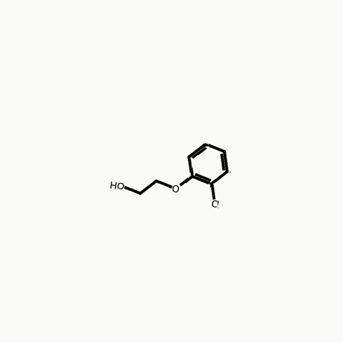 OCCOc1ccc[c]c1Cl